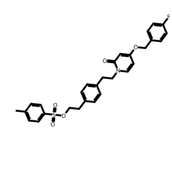 Cc1ccc(S(=O)(=O)OCCc2ccc(CCn3ccc(OCc4ccc(F)cc4)cc3=O)cc2)cc1